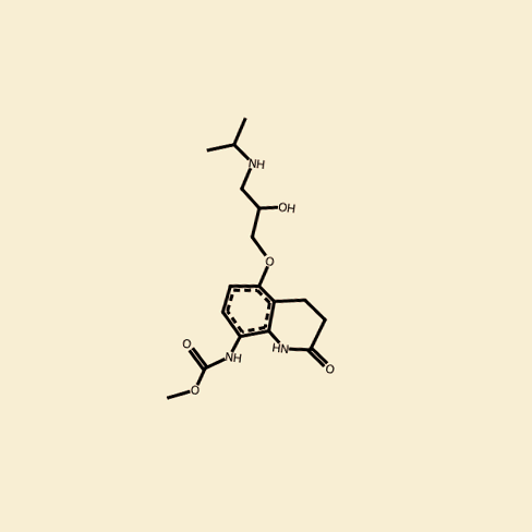 COC(=O)Nc1ccc(OCC(O)CNC(C)C)c2c1NC(=O)CC2